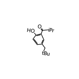 CC(C)C(=O)c1cc(CC(C)(C)C)ccc1O